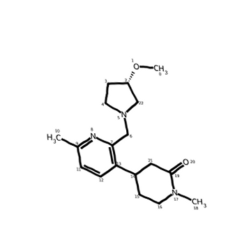 CO[C@H]1CCN(Cc2nc(C)ccc2C2CCN(C)C(=O)C2)C1